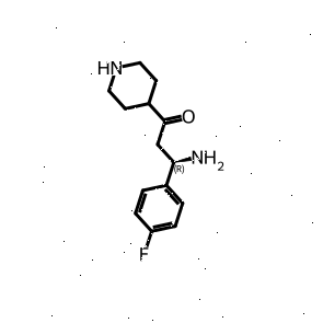 N[C@H](CC(=O)C1CCNCC1)c1ccc(F)cc1